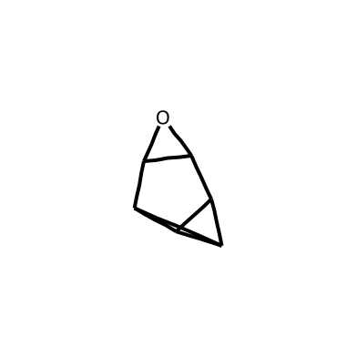 O1C2C1C1C3C2C13